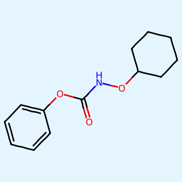 O=C(NOC1CCCCC1)Oc1ccccc1